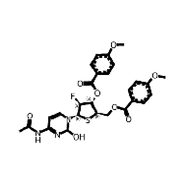 COc1ccc(C(=O)OC[C@H]2S[C@@H](N3C=CC(NC(C)=O)=NC3O)[C@@H](F)[C@@H]2OC(=O)c2ccc(OC)cc2)cc1